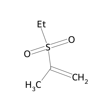 C=C(C)S(=O)(=O)CC